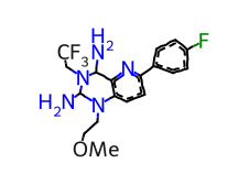 COCCN1c2ccc(-c3ccc(F)cc3)nc2C(N)N(CC(F)(F)F)C1N